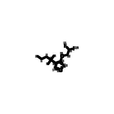 CCCC(C)(C)c1nonc1OCC(F)F